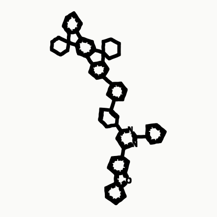 C1=CC(c2cccc(-c3ccc4c(c3)C3(CCCCC3)c3cc5c(cc3-4)C3(CCCCC3)c3ccccc3-5)c2)=CC(c2cc(-c3ccc4c(c3)oc3ccccc34)nc(-c3ccccc3)n2)C1